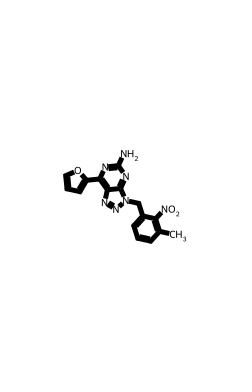 Cc1cccc(Cn2nnc3c(-c4ccco4)nc(N)nc32)c1[N+](=O)[O-]